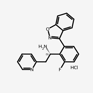 Cl.N[C@@H](Cc1ccccn1)c1c(F)cccc1-c1noc2ccccc12